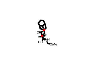 COCOC(O)CCC1CC2CCCC(C1)C2OC(=O)C(F)(F)S(=O)(=O)O